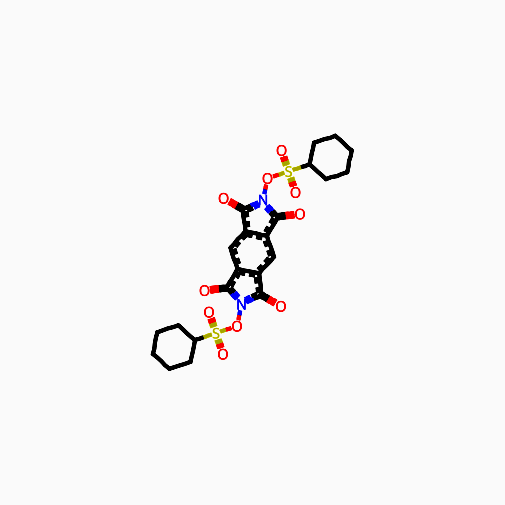 O=c1c2cc3c(=O)n(OS(=O)(=O)C4CCCCC4)c(=O)c3cc2c(=O)n1OS(=O)(=O)C1CCCCC1